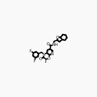 C[C@@H]1Oc2ncc(C(=O)NCc3cc4ccccc4o3)cc2N(Cc2cc(F)cc(F)c2)C1=O